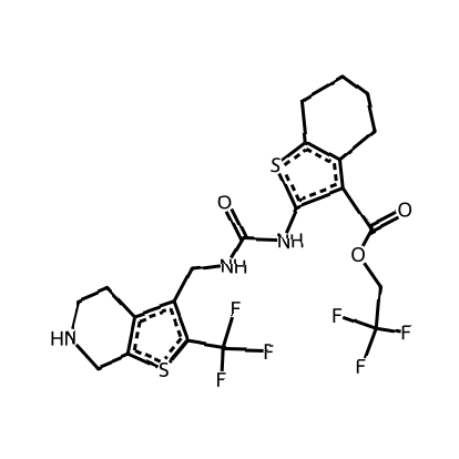 O=C(NCc1c(C(F)(F)F)sc2c1CCNC2)Nc1sc2c(c1C(=O)OCC(F)(F)F)CCCC2